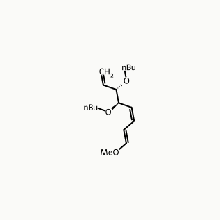 C=C[C@H](OCCCC)[C@@H](/C=C\C=C\OC)OCCCC